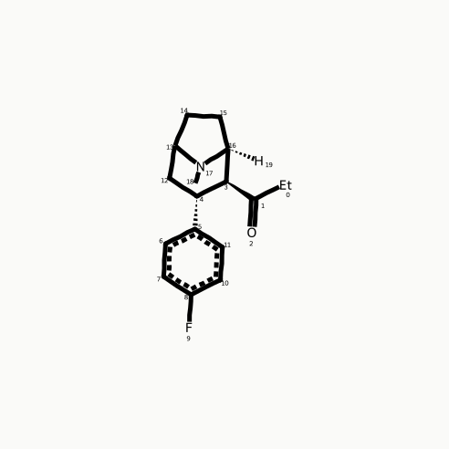 CCC(=O)[C@H]1[C@H](c2ccc(F)cc2)CC2CC[C@@H]1N2C